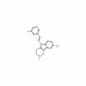 Cc1cncc(/C=C/n2c3c(c4cc(Cl)ccc42)CN(C)CC3)c1